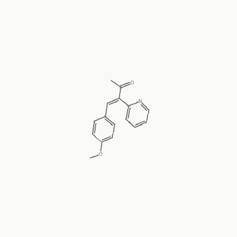 COc1ccc(/C=C(/C(C)=O)c2ccccn2)cc1